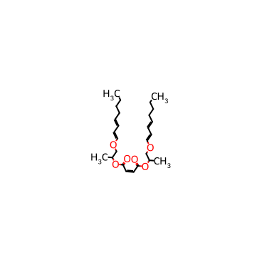 CCCCC=CC=COCC(C)OC(=O)/C=C\C(=O)OC(C)COC=CC=CCCCC